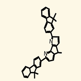 CC1c2ccc(-c3ccc4c(c3)C(C)(C)c3ccccc3-4)nc2-c2nc(-c3ccc4c(c3)C(C)(C)C3C=CC=CC43)ccc21